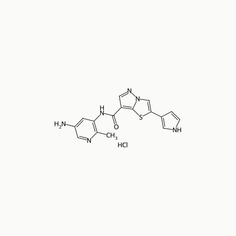 Cc1ncc(N)cc1NC(=O)c1cnn2cc(-c3cc[nH]c3)sc12.Cl